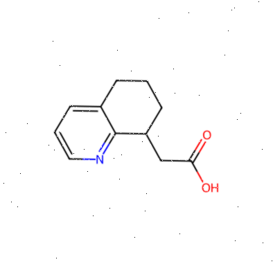 O=C(O)CC1CCCc2cccnc21